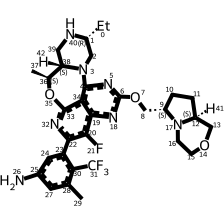 CC[C@@H]1CN2c3nc(OC[C@@H]4CC[C@H]5COCCN54)nc4c(F)c(-c5cc(N)cc(C)c5C(F)(F)F)nc(c34)O[C@@H](C)[C@@H]2CN1